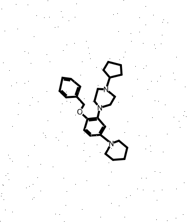 c1ccc(COc2ccc(N3CCCCC3)cc2N2CCN(C3CCCC3)CC2)cc1